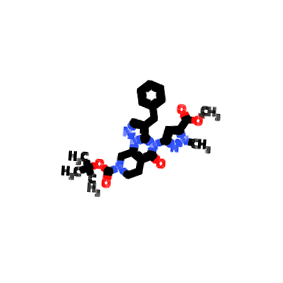 COC(=O)c1cc(-n2c(=O)c3c(n4ncc(Cc5ccccc5)c24)CN(C(=O)OC(C)(C)C)CC3)nn1C